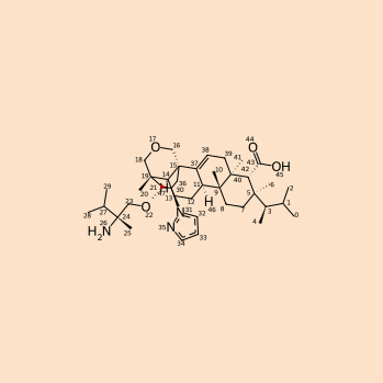 CC(C)[C@@H](C)[C@@]1(C)CC[C@]2(C)[C@H]3CC[C@@H]4[C@@]5(COC[C@@]4(C)[C@@H](OC[C@](C)(N)C(C)C)[C@H](n4cccn4)C5)C3=CC[C@@]2(C)[C@@H]1C(=O)O